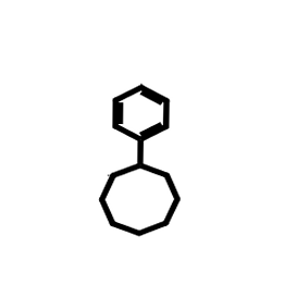 [c]1ccc(C2[CH]CCCCCC2)cc1